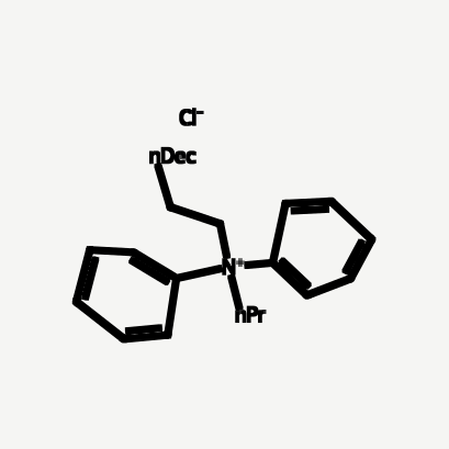 CCCCCCCCCCCC[N+](CCC)(c1ccccc1)c1ccccc1.[Cl-]